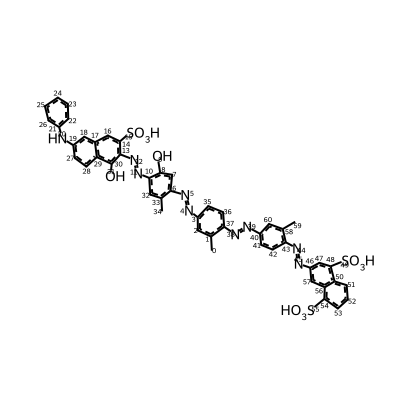 Cc1cc(N=Nc2cc(O)c(N=Nc3c(S(=O)(=O)O)cc4cc(Nc5ccccc5)ccc4c3O)cc2C)ccc1N=Nc1ccc(N=Nc2cc(S(=O)(=O)O)c3cccc(S(=O)(=O)O)c3c2)c(C)c1